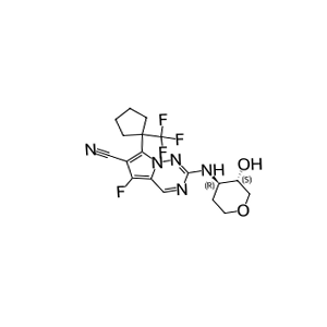 N#Cc1c(F)c2cnc(N[C@@H]3CCOC[C@H]3O)nn2c1C1(C(F)(F)F)CCCC1